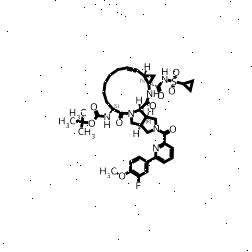 COc1ccc(-c2cccc(C(=O)N3C[C@H]4CN5C(=O)[C@@H](NC(=O)OC(C)(C)C)CCCCC/C=C\[C@@H]6C[C@@]6(C(=O)NS(=O)(=O)C6CC6)NC(=O)[C@@H]5[C@H]4C3)n2)cc1F